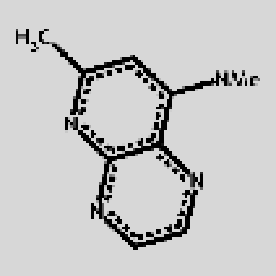 CNc1cc(C)nc2nccnc12